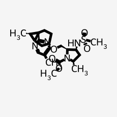 COC(=O)N1[C@H](C)C[C@H](NS(C)(=O)=O)[C@@H]1CO[C@H]1CC[C@]2(c3ncc(C)cn3)C(C1)[C@@H]2C